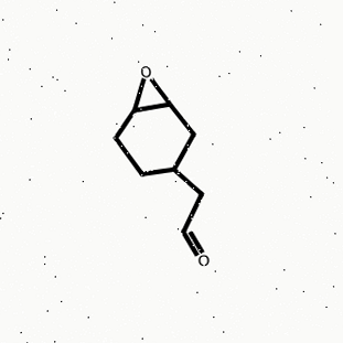 O=CCC1CCC2OC2C1